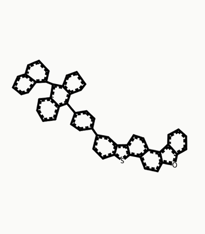 c1ccc2c(-c3c4ccccc4c(-c4ccc(-c5ccc6sc7c(ccc8c7ccc7oc9ccccc9c78)c6c5)cc4)c4ccccc34)cccc2c1